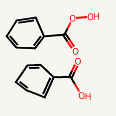 O=C(O)c1ccccc1.O=C(OO)c1ccccc1